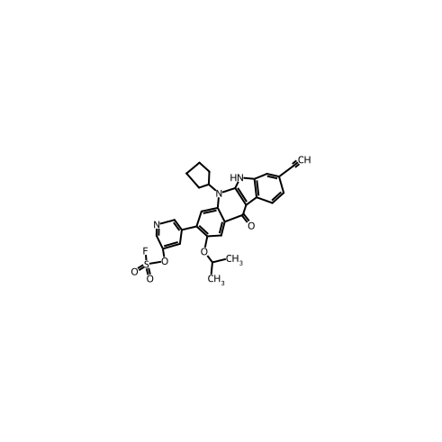 C#Cc1ccc2c(c1)[nH]c1c2c(=O)c2cc(OC(C)C)c(-c3cncc(OS(=O)(=O)F)c3)cc2n1C1CCCC1